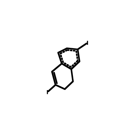 IC1=Cc2ccc(I)cc2CC1